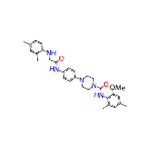 COc1cc(C)cc(C)c1NC(=O)N1CCN(c2ccc(NC(=O)CNc3ccc(C)cc3C)cc2)CC1